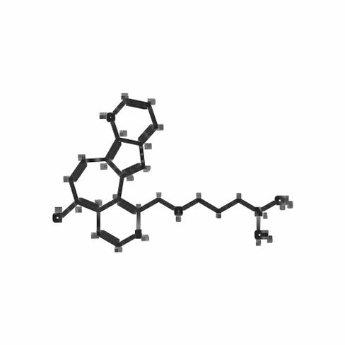 CN(C)CCCOCC1=c2c(c(Cl)ccc3c2cc2cccoc23)C=CS1